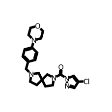 O=C(N1CCC2(CCN(Cc3ccc(N4CCOCC4)cc3)C2)C1)n1cc(Cl)cn1